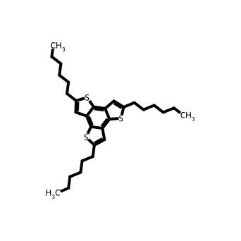 CCCCCCc1cc2c(s1)c1cc(CCCCCC)sc1c1cc(CCCCCC)sc21